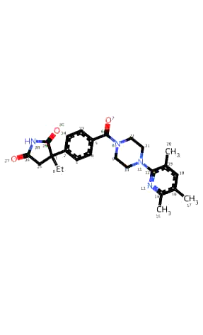 CCC1(c2ccc(C(=O)N3CCN(c4nc(C)c(C)cc4C)CC3)cc2)CC(=O)NC1=O